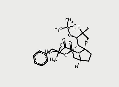 CC(C)(C)OC(=O)N1[C@H]2CC[C@@H]1[C@@H]([C@@H](O[Si](C)(C)C)C(F)(F)F)N(C(=O)OCc1ccccc1)C2